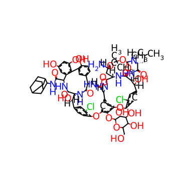 CC(C)C[C@H](C(=O)N[C@H]1C(=O)N[C@@H](CC(N)=O)C(=O)N[C@H]2C(=O)N[C@H]3C(=O)N[C@@H](C(=O)NC(C(=O)NC4C5CC6CC(C5)CC4C6)c4cc(O)cc(O)c4-c4cc3ccc4O)[C@H](O)c3ccc(c(Cl)c3)Oc3cc2cc(c3OC2OC(CO)C(O)C(O)C2O)Oc2ccc(cc2Cl)[C@H]1O)N(C)C(=O)OC(C)(C)C